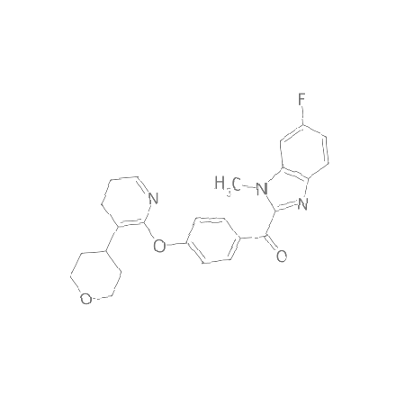 Cn1c(C(=O)c2ccc(OC3=C(C4CCOCC4)CCC=N3)cc2)nc2ccc(F)cc21